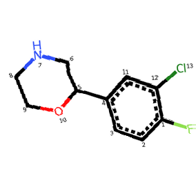 Fc1ccc(C2CNCCO2)cc1Cl